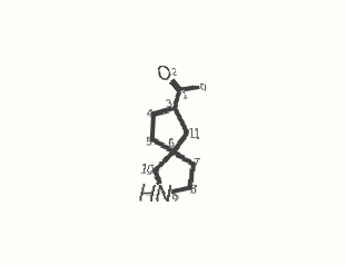 CC(=O)C1CCC2(CCNC2)C1